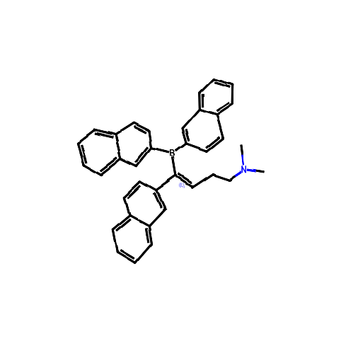 CN(C)CC/C=C(\B(c1ccc2ccccc2c1)c1ccc2ccccc2c1)c1ccc2ccccc2c1